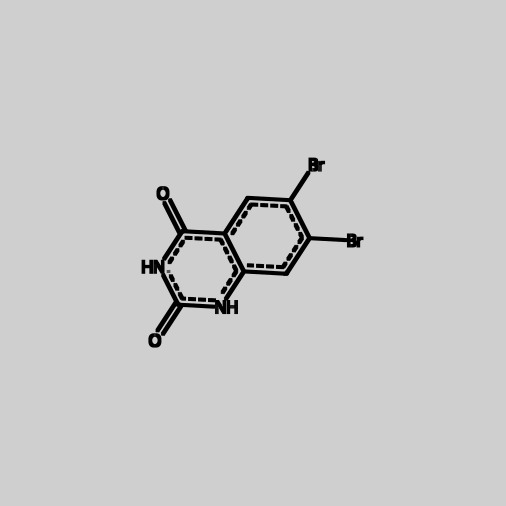 O=c1[nH]c(=O)c2cc(Br)c(Br)cc2[nH]1